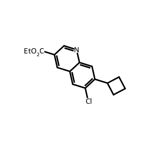 CCOC(=O)c1cnc2cc(C3CCC3)c(Cl)cc2c1